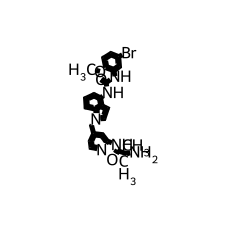 COc1ccc(Br)cc1NC(=O)Nc1cccc2c1ccn2Cc1ccnc(NC(=O)C(C)(C)N)c1